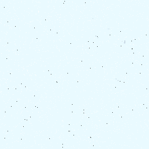 CC(c1ccc(C(=O)O)cc1)n1c(=O)[nH]c2c(c1=O)CN(CC#Cc1ccccc1)CC2